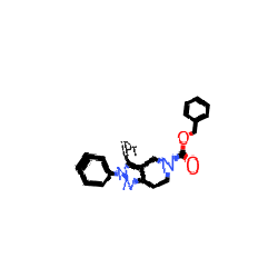 CC(C)c1c2c(nn1-c1ccccc1)CCN(C(=O)OCc1ccccc1)C2